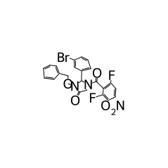 O=C(c1c(F)ccc([N+](=O)[O-])c1F)N1CC(=O)N(OCc2ccccc2)C1c1cccc(Br)c1